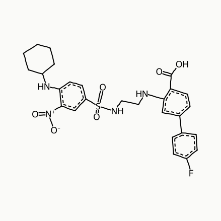 O=C(O)c1ccc(-c2ccc(F)cc2)cc1NCCNS(=O)(=O)c1ccc(NC2CCCCC2)c([N+](=O)[O-])c1